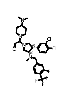 CN(C)C1CCN(C(C=O)N2C[C@H](c3ccc(Cl)c(Cl)c3)[C@H](N(C)Cc3ccc(C(F)(F)F)c(F)c3)C2)CC1